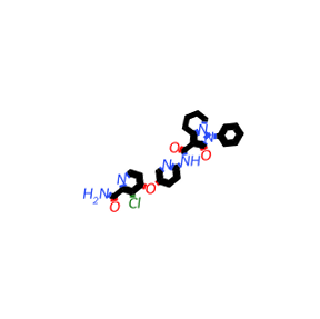 NC(=O)c1nccc(Oc2ccc(NC(=O)c3c4n(n(-c5ccccc5)c3=O)CCCC4)nc2)c1Cl